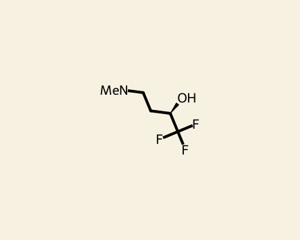 CNCC[C@@H](O)C(F)(F)F